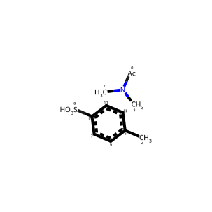 CC(=O)N(C)C.Cc1ccc(S(=O)(=O)O)cc1